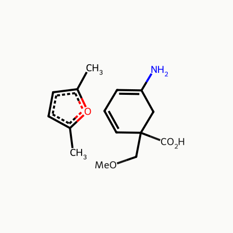 COCC1(C(=O)O)C=CC=C(N)C1.Cc1ccc(C)o1